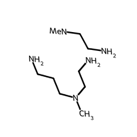 CN(CCN)CCCN.CNCCN